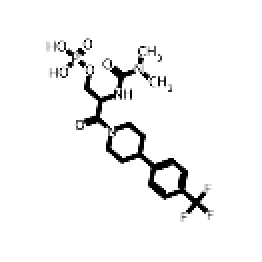 CN(C)C(=O)NC(COP(=O)(O)O)C(=O)N1CCC(c2ccc(C(F)(F)F)cc2)CC1